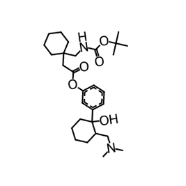 CN(C)CC1CCCCC1(O)c1cccc(OC(=O)CC2(CNC(=O)OC(C)(C)C)CCCCC2)c1